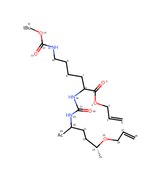 C=CCOC(=O)C(CCCCNC(=O)OC(C)(C)C)NC(=O)NC(CC[C@@H](C)OCC=C)C(C)=O